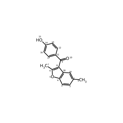 Cc1ccc2oc(C)c(C(=O)c3ccc(O)cc3)c2c1